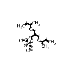 C=CC(C)OCC(COC(C)C=C)COP(=O)(OCl)OCl